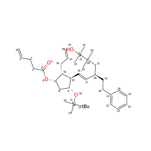 C=CCCC(=O)O[C@H]1C[C@@H](O[Si](C)(C)C(C)(C)C)[C@H](/C=C/[C@H](CCc2ccccc2)CC(C)(C)[Si](C)(C)O)[C@H]1CC=C